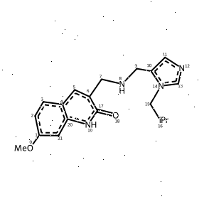 COc1ccc2cc(CNCc3cncn3CC(C)C)c(=O)[nH]c2c1